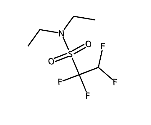 CCN(CC)S(=O)(=O)C(F)(F)C(F)F